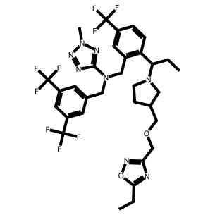 CCc1nc(COCC2CCN(C(CC)c3ccc(C(F)(F)F)cc3CN(Cc3cc(C(F)(F)F)cc(C(F)(F)F)c3)c3nnn(C)n3)C2)no1